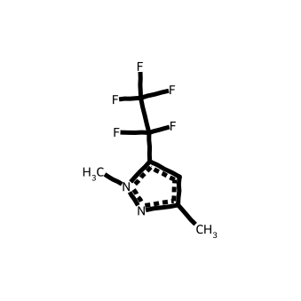 Cc1cc(C(F)(F)C(F)(F)F)n(C)n1